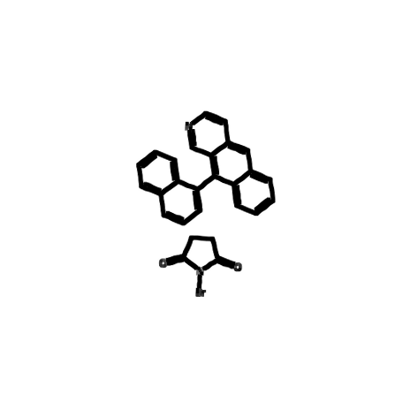 O=C1CCC(=O)N1Br.c1ccc2c(-c3c4ccccc4cc4ccncc34)cccc2c1